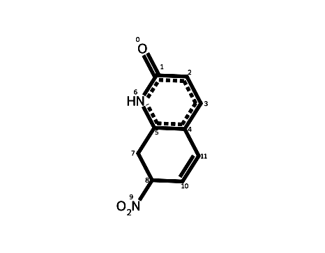 O=c1ccc2c([nH]1)CC([N+](=O)[O-])C=C2